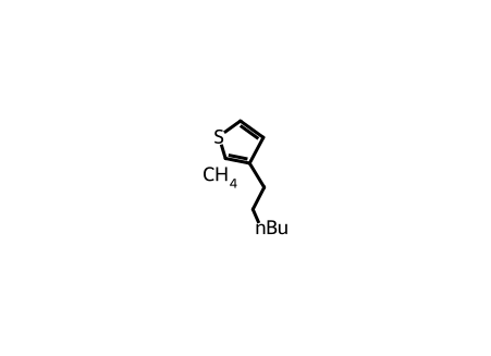 C.CCCCCCc1ccsc1